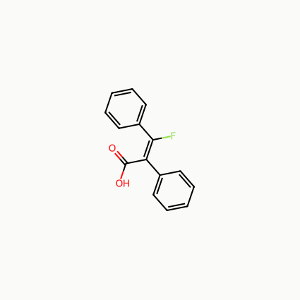 O=C(O)C(=C(F)c1ccccc1)c1ccccc1